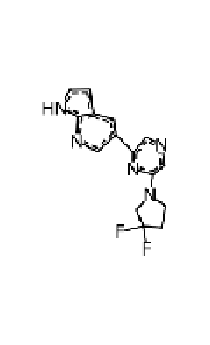 FC1(F)CCN(c2cncc(-c3cnc4[nH]ccc4c3)n2)C1